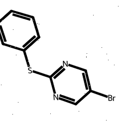 Brc1cnc(Sc2ccccc2)nc1